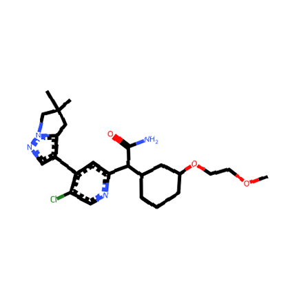 COCCOC1CCCC(C(C(N)=O)c2cc(-c3cnn4c3CC(C)(C)C4)c(Cl)cn2)C1